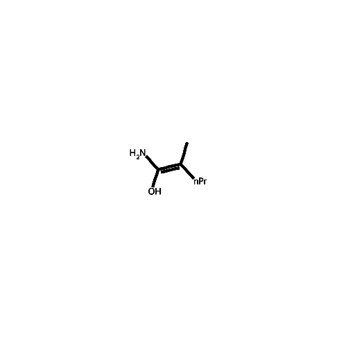 CCCC(C)=C(N)O